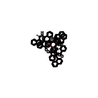 C[C@H](NC(=O)c1ccccc1[C@@H]1n2c(=O)c3ccccc3c(=O)n2[C@@H](c2ccccc2C(=O)N[C@@H](C)c2cccc3ccccc23)P1c1ccccc1P1[C@H](c2ccccc2C(=O)N[C@@H](C)c2cccc3ccccc23)n2c(=O)c3ccccc3c(=O)n2[C@H]1c1ccccc1C(=O)N[C@@H](C)c1cccc2ccccc12)c1cccc2ccccc12